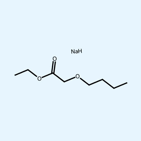 CCCCOCC(=O)OCC.[NaH]